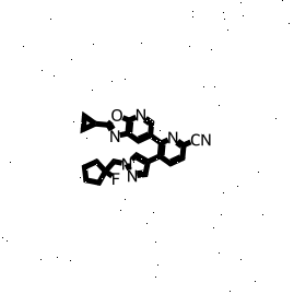 N#Cc1ccc(-c2cnn(CC3(F)CCCC3)c2)c(-c2cnc3oc(C4CC4)nc3c2)n1